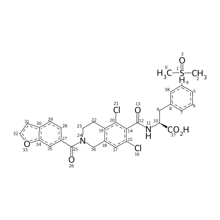 C[SH](C)(=O)c1cccc(C[C@H](NC(=O)c2c(Cl)cc3c(c2Cl)CCN(C(=O)c2ccc4ccoc4c2)C3)C(=O)O)c1